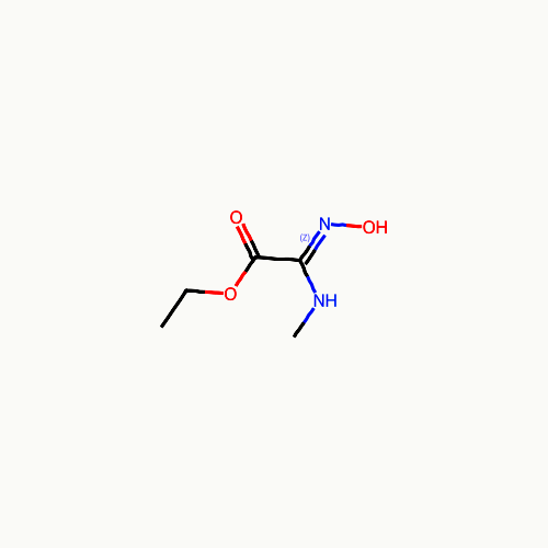 CCOC(=O)/C(=N/O)NC